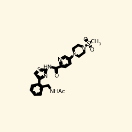 CC(=O)NCc1ccccc1-c1csc(NC(=O)c2ccc(N3CCN(S(C)(=O)=O)CC3)cn2)n1